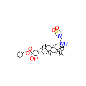 C=C(C)[C@@H]1CC[C@]2(NCCN3CCS(=O)(=O)CC3)CC[C@]3(C)[C@H](CC[C@@H]4[C@@]5(C)CC=C(C6=CCC(CO)(C(=O)OCc7ccccc7)CC6)C(C)(C)[C@@H]5CC[C@]43C)[C@@H]12